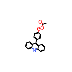 CC(=O)OOc1ccc(-c2c3ccccc3nc3ccccc23)cc1